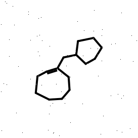 C1=C(CC2CCCCC2)CCCCCC1